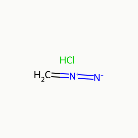 C=[N+]=[N-].Cl